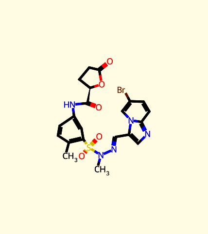 Cc1ccc(NC(=O)[C@H]2CCC(=O)O2)cc1S(=O)(=O)N(C)/N=C/c1cnc2ccc(Br)cn12